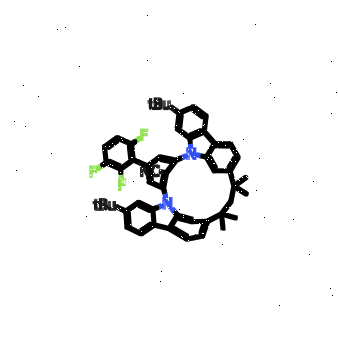 CC(C)(C)c1ccc2c3ccc4cc3n(c2c1)-c1cc(-c2c(F)ccc(F)c2F)cc(c1C#N)-n1c2cc(C(C)(C)C)ccc2c2ccc(cc21)C(C)(C)CC4(C)C